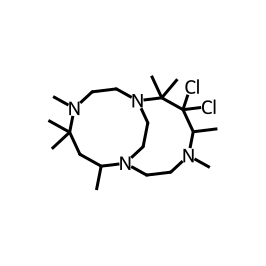 CC1CC(C)(C)N(C)CCN2CCN1CCN(C)C(C)C(Cl)(Cl)C2(C)C